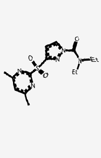 CCN(CC)C(=O)n1ccc(S(=O)(=O)c2nc(C)cc(C)n2)n1